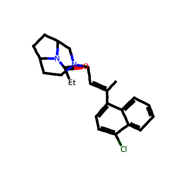 CCC(=O)N1C2CCC1CN(C/C=C(\C)c1ccc(Cl)c3ccccc13)CC2